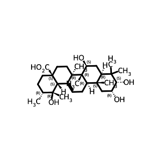 C[C@@H]1CC[C@]2(C(=O)O)CC[C@]3(C)C(=CC[C@@H]4[C@@]5(C)C[C@@H](O)[C@@H](O)C(C)(C)[C@@H]5C[C@H](O)[C@]43C)[C@@H]2[C@]1(C)O